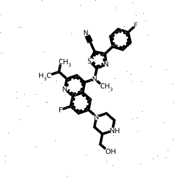 CC(C)c1cc(N(C)c2nc(-c3ccc(F)cc3)c(C#N)s2)c2cc(N3CCNC(CO)C3)cc(F)c2n1